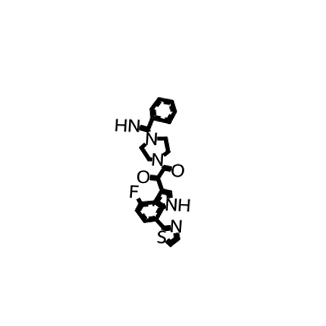 N=C(c1ccccc1)N1CCN(C(=O)C(=O)c2c[nH]c3c(-c4nccs4)ccc(F)c23)CC1